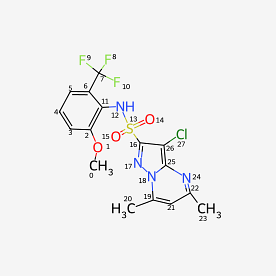 COc1cccc(C(F)(F)F)c1NS(=O)(=O)c1nn2c(C)cc(C)nc2c1Cl